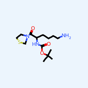 CC(C)(C)OC(=O)NC(CCCCN)C(=O)N1CCSC1